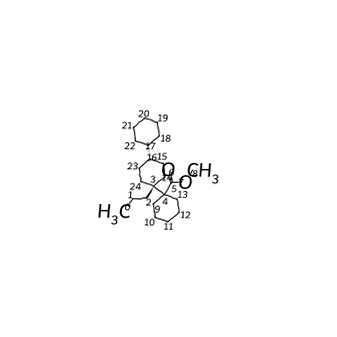 CCC[C@]1(C2(C(=O)OC)CCCCC2)CC[C@@H](C2CCCCC2)CC1